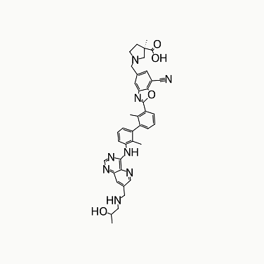 Cc1c(Nc2ncnc3cc(CNCC(C)O)cnc23)cccc1-c1cccc(-c2nc3cc(CN4CC[C@@](C)(C(=O)O)C4)cc(C#N)c3o2)c1C